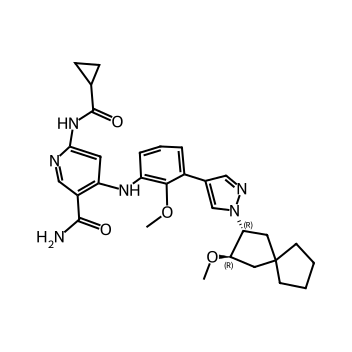 COc1c(Nc2cc(NC(=O)C3CC3)ncc2C(N)=O)cccc1-c1cnn([C@@H]2CC3(CCCC3)C[C@H]2OC)c1